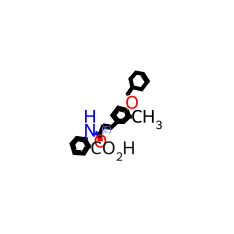 Cc1cc(/C=C/C(=O)Nc2ccccc2C(=O)O)ccc1OCC1CC=CCC1